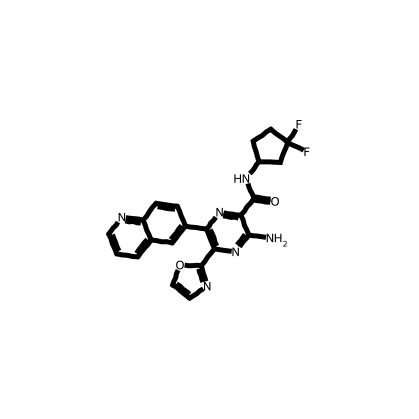 Nc1nc(-c2ncco2)c(-c2ccc3ncccc3c2)nc1C(=O)NC1CCC(F)(F)C1